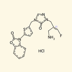 Cl.NC/C(=C\F)Cn1ncn(Cc2ccc(-n3c(=O)oc4ccccc43)s2)c1=O